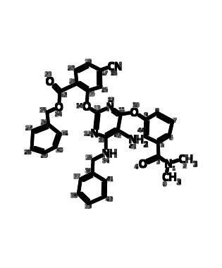 CN(C)C(=O)c1cccc(Oc2nc(Oc3cc(C#N)ccc3C(=O)OCc3ccccc3)nc(NCc3ccccc3)c2N)c1